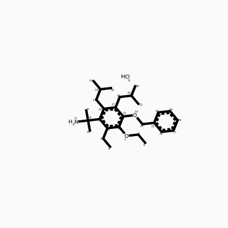 CCOc1c(CC)c(C(C)(C)N)c(CC(C)C)c(CC(C)C)c1OCc1ccccc1.Cl